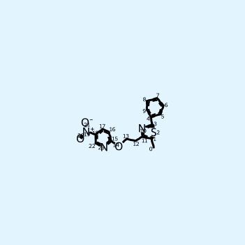 Cc1sc(-c2ccccc2)nc1CCOc1ccc([N+](=O)[O-])cn1